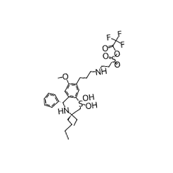 CCCC[C@]1(CC)CS(O)(O)c2cc(CCCNCCS(=O)(=O)OC(=O)C(F)(F)F)c(OC)cc2[C@@H](c2ccccc2)N1